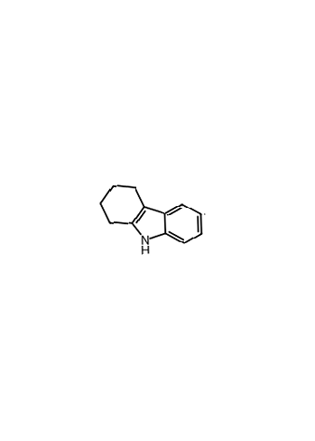 [c]1ccc2[nH]c3c(c2c1)CCCC3